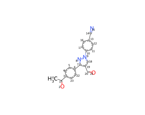 CC(=O)c1ccc(-c2nn(-c3ccc(C#N)cc3)cc2C=O)cc1